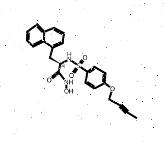 CC#CCOc1ccc(S(=O)(=O)N[C@H](Cc2cccc3ccccc23)C(=O)NO)cc1